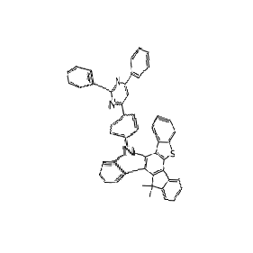 CC1(C)c2ccccc2-c2c1c1c3ccccc3n(-c3ccc(-c4cc(-c5ccccc5)nc(-c5ccccc5)n4)cc3)c1c1c2sc2ccccc21